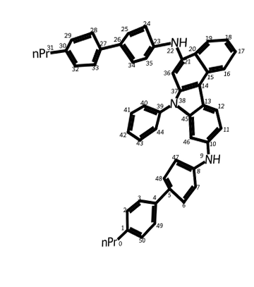 CCCc1ccc(-c2ccc(Nc3ccc4c5c6ccccc6c(Nc6ccc(-c7ccc(CCC)cc7)cc6)cc5n(-c5ccccc5)c4c3)cc2)cc1